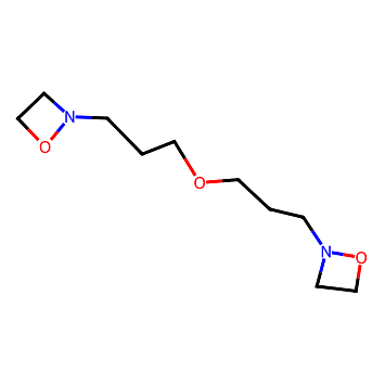 C(COCCCN1CCO1)CN1CCO1